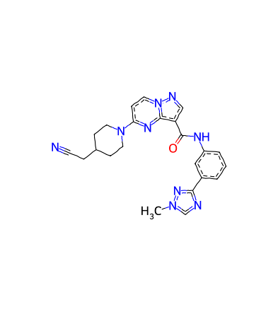 Cn1cnc(-c2cccc(NC(=O)c3cnn4ccc(N5CCC(CC#N)CC5)nc34)c2)n1